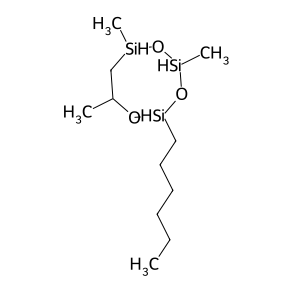 CCCCCC[SiH]1OC(C)C[SiH](C)O[SiH](C)O1